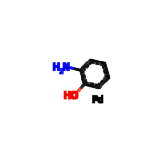 Nc1ccccc1O.[Pd]